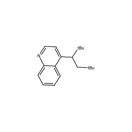 CC(C)(C)CC(c1ccnc2ccccc12)C(C)(C)C